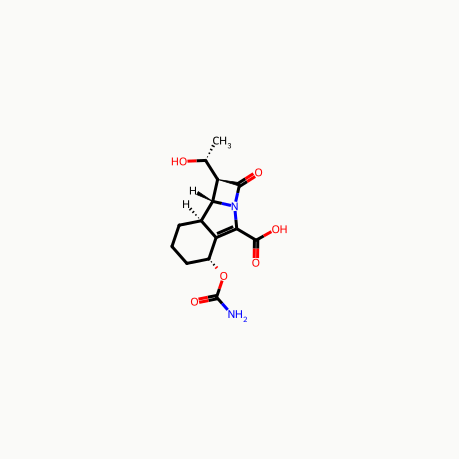 C[C@@H](O)[C@H]1C(=O)N2C(C(=O)O)=C3[C@@H](CCC[C@H]3OC(N)=O)[C@H]12